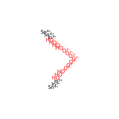 [In+3].[In+3].[In+3].[O-2].[O-2].[O-2].[O-2].[O-2].[O-2].[O-2].[OH-].[OH-].[OH-].[OH-].[OH-].[OH-].[OH-].[Sn+4].[Sn+4].[Sn+4]